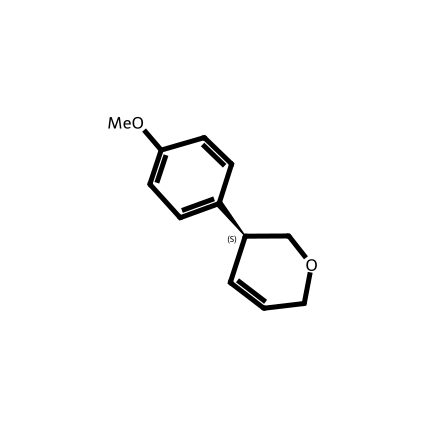 COc1ccc([C@@H]2C=CCOC2)cc1